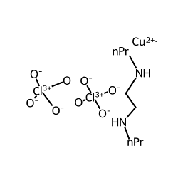 CCCNCCNCCC.[Cu+2].[O-][Cl+3]([O-])([O-])[O-].[O-][Cl+3]([O-])([O-])[O-]